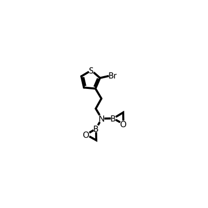 Brc1sccc1CCN(B1CO1)B1CO1